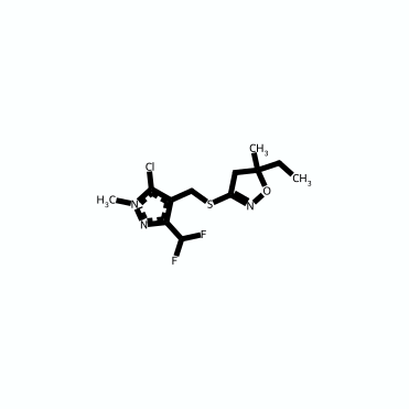 CCC1(C)CC(SCc2c(C(F)F)nn(C)c2Cl)=NO1